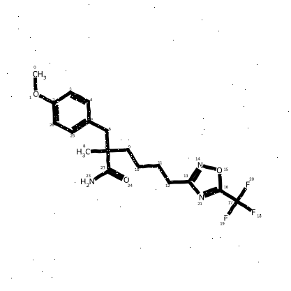 COc1ccc(CC(C)(CCCCc2noc(C(F)(F)F)n2)C(N)=O)cc1